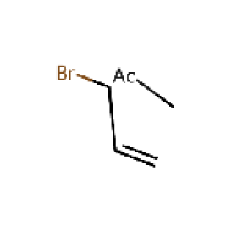 C=CCBr.CC(C)=O